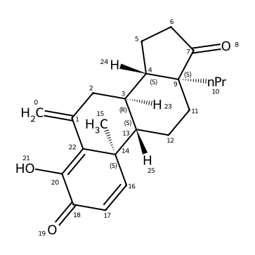 C=C1C[C@H]2[C@@H]3CCC(=O)[C@@]3(CCC)CC[C@@H]2[C@@]2(C)C=CC(=O)C(O)=C12